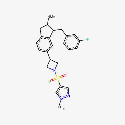 CNC1Cc2ccc(C3CN(S(=O)(=O)c4cnn(C)c4)C3)cc2C1Cc1cccc(F)c1